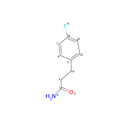 NC(=O)C[CH]c1ccc(F)cc1